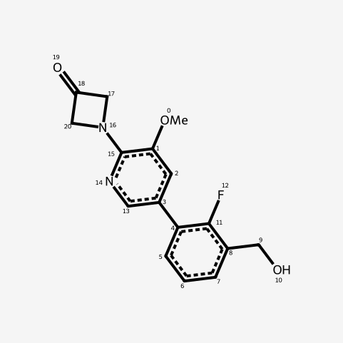 COc1cc(-c2cccc(CO)c2F)cnc1N1CC(=O)C1